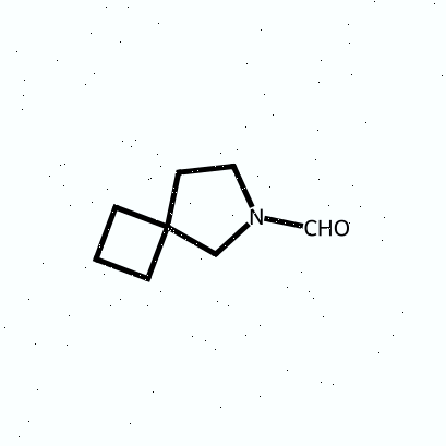 O=CN1CCC2(CCC2)C1